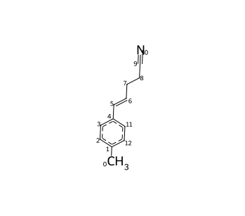 Cc1ccc(C=CCCC#N)cc1